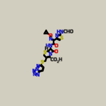 O=CNc1nc(C(=NOC2CC2)C(=O)NC2C(=O)N3C(C(=O)O)=C(CSc4ccc5nnnn5n4)CS[C@@H]23)cs1